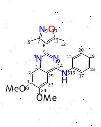 COc1cc2nc(-c3c(C)noc3C)nc(Nc3ccccc3)c2cc1OC